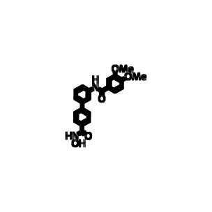 COc1ccc(C(=O)Nc2cccc(-c3ccc(C(=O)NO)cc3)c2)cc1OC